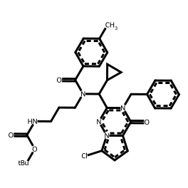 Cc1ccc(C(=O)N(CCCNC(=O)OC(C)(C)C)C(c2nn3c(Cl)ccc3c(=O)n2Cc2ccccc2)C2CC2)cc1